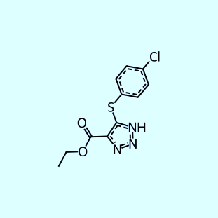 CCOC(=O)c1nn[nH]c1Sc1ccc(Cl)cc1